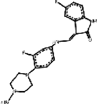 CCCCN1CCN(c2ccc(N/C=C3/C(=O)Nc4ccc(F)cc43)cc2F)CC1